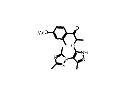 COc1ccc(C(=O)C(C)Oc2[nH]nc(C)c2-n2nc(C)nc2C)c(C)c1